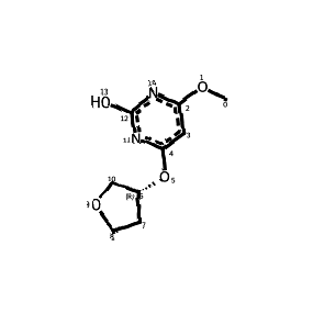 COc1cc(O[C@@H]2CCOC2)nc(O)n1